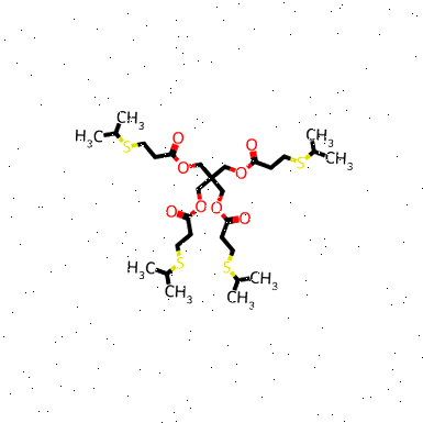 CC(C)SCCC(=O)OCC(COC(=O)CCSC(C)C)(COC(=O)CCSC(C)C)COC(=O)CCSC(C)C